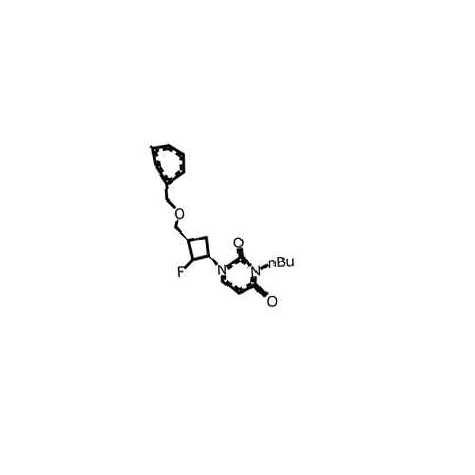 CCCCn1c(=O)ccn([C@@H]2C[C@H](COCc3ccccc3)C2F)c1=O